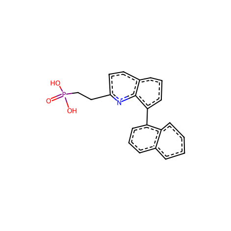 O=P(O)(O)CCc1ccc2cccc(-c3cccc4ccccc34)c2n1